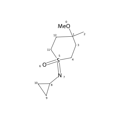 COC1(C)CCS(=O)(=NC2CC2)CC1